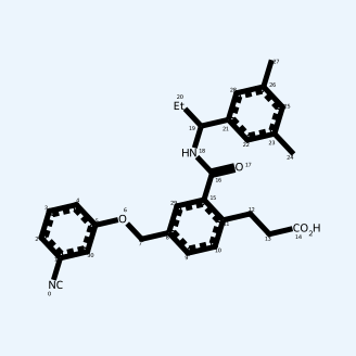 [C-]#[N+]c1cccc(OCc2ccc(CCC(=O)O)c(C(=O)NC(CC)c3cc(C)cc(C)c3)c2)c1